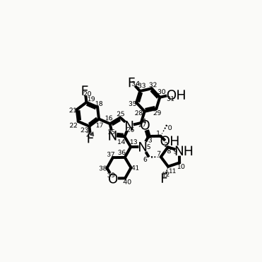 C[C@H](O)C(=O)N(C[C@@H]1CNC[C@@H]1F)C(c1nc(-c2cc(F)ccc2F)cn1Cc1cc(O)cc(F)c1)C1CCOCC1